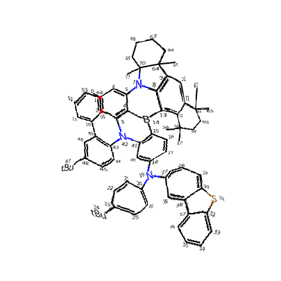 Cc1cc2c3c(c1)N1c4c(cc5c(c4B3c3ccc(N(c4ccc(C(C)(C)C)cc4)c4ccc6sc7ccccc7c6c4)cc3N2c2ccc(C(C)(C)C)cc2-c2ccccc2)C(C)(C)CCC5(C)C)C2(C)CCCCC12C